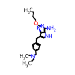 CCCCOc1nc(N)c2[nH]cc(Cc3ccc(CN(CC)CC)cc3)c2n1